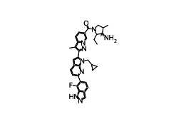 CCC1[C@H](N)C(C)CN1C(=O)c1ccc2c(C)c(-c3cc4ccc(-c5ccc6cn[nH]c6c5F)nc4n3CC3CC3)nn2c1